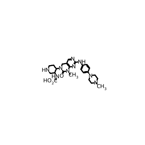 CN1CCN(c2ccc(Nc3ncc4c(n3)N(C)C(=O)N(C3CCNCC3NC(=O)O)C4)cc2)CC1